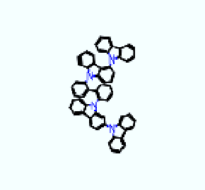 c1ccc2c3c(-n4c5ccc#cc5c5ccccc54)cccc3n(-c3ccccc3C3=C(n4c5ccccc5c5ccc(-n6c7ccccc7c7ccccc76)cc54)C=CCC3)c2c#1